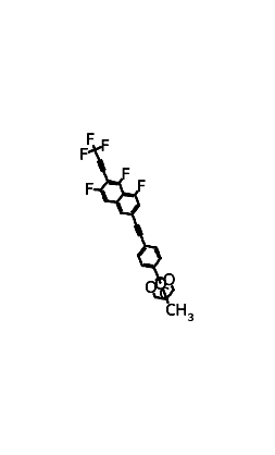 CC12COC(c3ccc(C#Cc4cc(F)c5c(F)c(C#CC(F)(F)F)c(F)cc5c4)cc3)(OC1)OC2